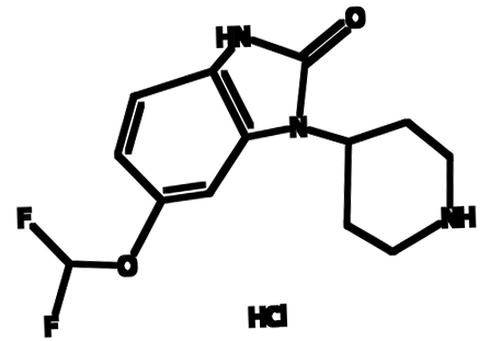 Cl.O=c1[nH]c2ccc(OC(F)F)cc2n1C1CCNCC1